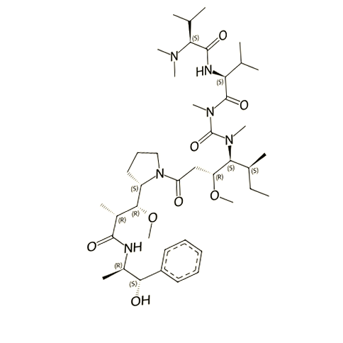 CC[C@H](C)[C@@H]([C@@H](CC(=O)N1CCC[C@H]1[C@H](OC)[C@@H](C)C(=O)N[C@H](C)[C@@H](O)c1ccccc1)OC)N(C)C(=O)N(C)C(=O)[C@@H](NC(=O)[C@H](C(C)C)N(C)C)C(C)C